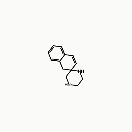 C1=CC2(CNCCN2)Cc2ccccc21